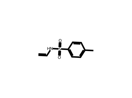 C=CNS(=O)(=O)c1ccc(C)cc1